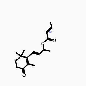 C/C=C/C(=O)OC(C)C=CC1=C(C)C(=O)CCC1(C)C